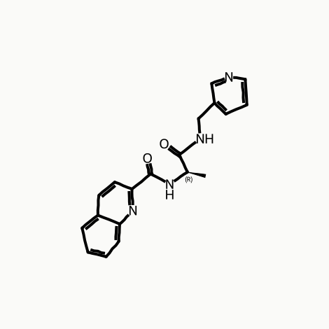 C[C@@H](NC(=O)c1ccc2ccccc2n1)C(=O)NCc1cccnc1